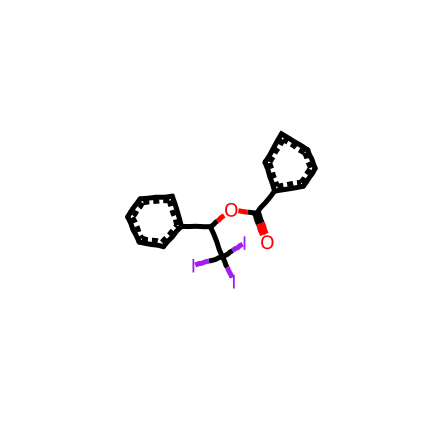 O=C(OC(c1ccccc1)C(I)(I)I)c1ccccc1